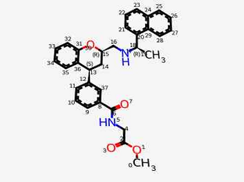 COC(=O)CNC(=O)c1cccc([C@@H]2C[C@H](CN[C@H](C)c3cccc4ccccc34)Oc3ccccc32)c1